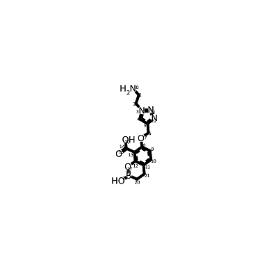 NCCn1cc(COc2ccc3c(c2C(=O)O)OB(O)CC3)nn1